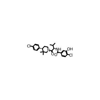 CC(C)[C@@H](NC(=O)c1ccc(Cl)c(O)c1)C(=O)N1CC[C@H](c2ccc(Cl)cc2)C(C)(C)C1